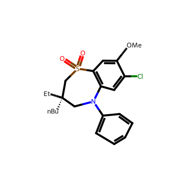 CCCC[C@@]1(CC)CN(c2ccccc2)c2cc(Cl)c(OC)cc2S(=O)(=O)C1